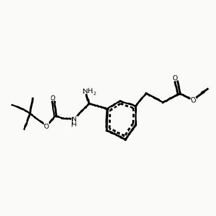 COC(=O)CCc1cccc(C(N)NC(=O)OC(C)(C)C)c1